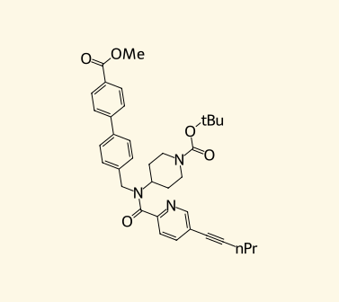 CCCC#Cc1ccc(C(=O)N(Cc2ccc(-c3ccc(C(=O)OC)cc3)cc2)C2CCN(C(=O)OC(C)(C)C)CC2)nc1